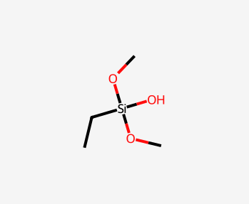 CC[Si](O)(OC)OC